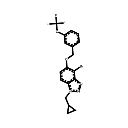 FC(F)(F)Oc1cccc(COc2ccc3c(nnn3CC3CC3)c2Br)c1